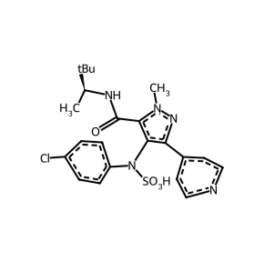 C[C@H](NC(=O)c1c(N(c2ccc(Cl)cc2)S(=O)(=O)O)c(-c2ccncc2)nn1C)C(C)(C)C